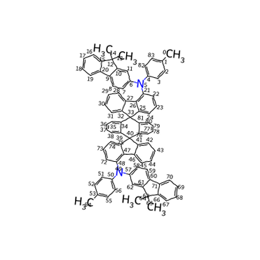 Cc1ccc(N(c2ccc3c(c2)C(C)(C)c2ccccc2-3)c2cccc3c2-c2ccccc2C32c3ccccc3C3(c4ccccc4-c4c(N(c5ccc(C)cc5)c5ccc6c(c5)C(C)(C)c5ccccc5-6)cccc43)c3ccccc32)cc1